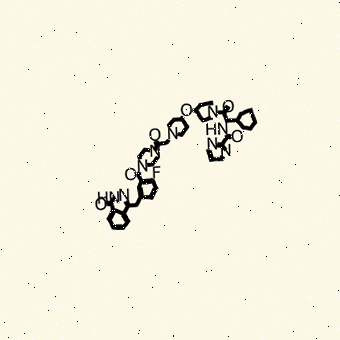 O=C(N[C@@H](C(=O)N1CCC(OC2CCN(CC(=O)N3CCN(C(=O)c4cc(Cc5n[nH]c(=O)c6ccccc56)ccc4F)CC3)CC2)CC1)C1CCCCC1)c1ncccn1